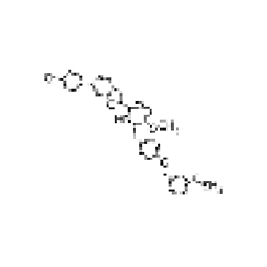 COC(=O)C(Cc1ccc(OCc2cccc(OC)c2)cc1)NC(=O)c1cc2ccc(-c3ccc(Cl)cc3)cc2o1